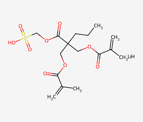 C=C(C)C(=O)OCC(CCC)(COC(=O)C(=C)C)C(=O)OCS(=O)(=O)O.[LiH]